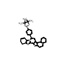 CC1(C)OB(c2ccc(-c3cc4c(sc5ccc6ccccc6c54)c4nc5c(n34)C=CCC5)cc2)OC1(C)C